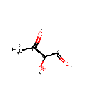 CC(=O)C(O)[C]=O